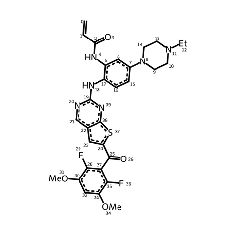 C=CC(=O)Nc1cc(N2CCN(CC)CC2)ccc1Nc1ncc2cc(C(=O)c3c(F)c(OC)cc(OC)c3F)sc2n1